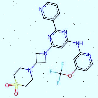 O=S1(=O)CCN(C2CN(c3cc(Nc4cc(OC(F)(F)F)ccn4)nc(-c4cccnc4)n3)C2)CC1